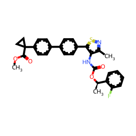 COC(=O)C1(c2ccc(-c3ccc(-c4snc(C)c4NC(=O)O[C@H](C)c4ccccc4F)cc3)cc2)CC1